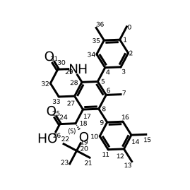 Cc1ccc(-c2c(C)c(-c3ccc(C)c(C)c3)c([C@H](OC(C)(C)C)C(=O)O)c3c2NC(=O)CC3)cc1C